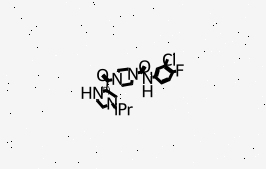 CC(C)N1CCN[C@@H](C(=O)N2CCN(C(=O)Nc3ccc(F)c(Cl)c3)CC2)C1